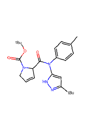 Cc1ccc(N(C(=O)C2C=CCN2C(=O)OC(C)(C)C)c2cc(C(C)(C)C)n[nH]2)cc1